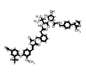 COc1cc(/C=C2\SC(=O)N(Cc3ccccc3CC(=O)N[C@H](C(=O)N3C[C@H](O)C[C@H]3C(=O)NCc3ccc(-c4scnc4C)cc3)C(C)(C)C)C2=O)ccc1Oc1ccc(C#N)cc1C(F)(F)F